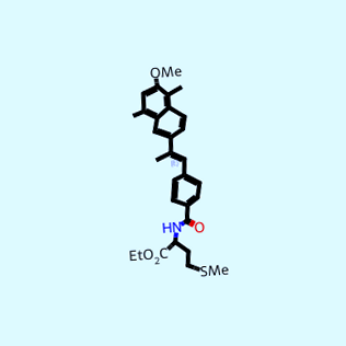 CCOC(=O)C(CCSC)NC(=O)c1ccc(/C=C(\C)c2ccc3c(C)c(OC)cc(C)c3c2)cc1